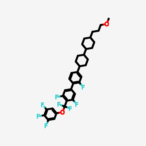 COCCCC1CCC(C2CCC(c3ccc(-c4cc(F)c(C(F)(F)Oc5cc(F)c(F)c(F)c5)c(F)c4)c(F)c3)CC2)CC1